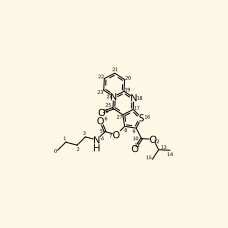 CCCCNC(=O)Oc1c(C(=O)OC(C)C)sc2nc3ccccn3c(=O)c12